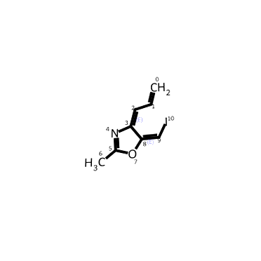 C=C/C=c1/nc(C)o/c1=C/I